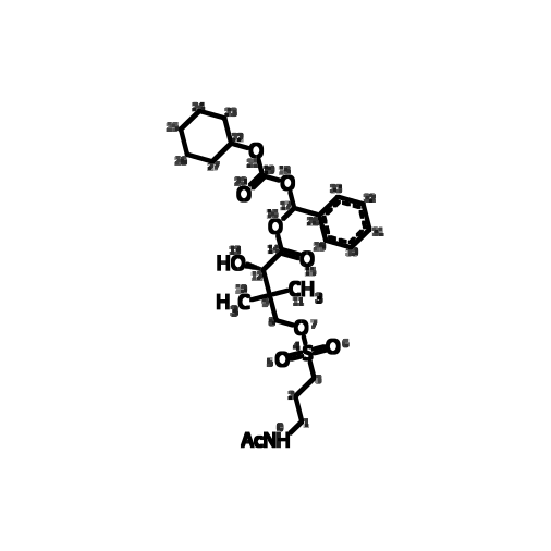 CC(=O)NCCCS(=O)(=O)OCC(C)(C)[C@@H](O)C(=O)OC(OC(=O)OC1CCCCC1)c1ccccc1